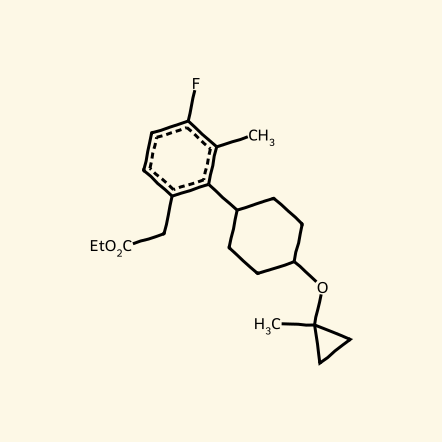 CCOC(=O)Cc1ccc(F)c(C)c1C1CCC(OC2(C)CC2)CC1